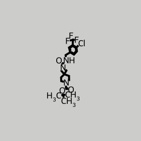 CC(C)(C)OC(=O)N1CCC2(CC1)CN(C(=O)NCc1ccc(Cl)c(C(F)(F)F)c1)C2